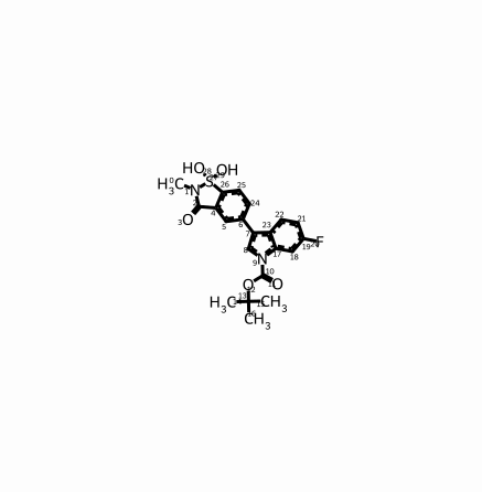 CN1C(=O)c2cc(-c3cn(C(=O)OC(C)(C)C)c4cc(F)ccc34)ccc2S1(O)O